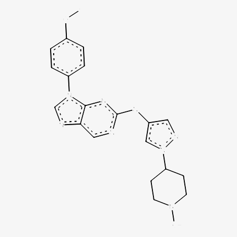 COc1ccc(-n2cnc3cnc(Nc4cnn(C5CCN(C)CC5)c4)nc32)cc1